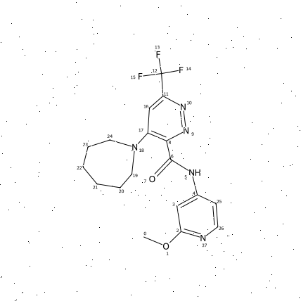 COc1cc(NC(=O)c2nnc(C(F)(F)F)cc2N2CCCCCC2)ccn1